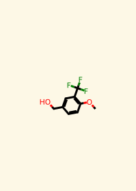 COc1ccc(CO)cc1C(F)(F)F